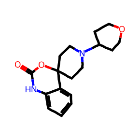 O=C1Nc2ccccc2C2(CCN(C3CCOCC3)CC2)O1